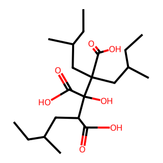 CCC(C)CC(C(=O)O)C(O)(C(=O)O)C(CC(C)CC)(CC(C)CC)C(=O)O